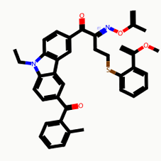 C=C(C)O/N=C(\CCSc1ccccc1C(=C)OC)C(=O)c1ccc2c(c1)c1cc(C(=O)c3ccccc3C)ccc1n2CC